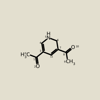 CC(=O)C1=CNCC(C(C)=O)=C1